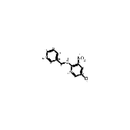 O=[N+]([O-])c1cc(Cl)cnc1OCc1cccnc1